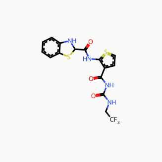 O=C(NCC(F)(F)F)NC(=O)c1ccsc1NC(=O)C1Nc2ccccc2S1